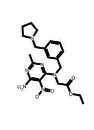 CCOC(=O)CN(Cc1cccc(CN2CCCC2)c1)c1nc(C)nc(N)c1[N+](=O)[O-]